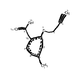 C#CCOc1cc(C)ccc1C(=O)O